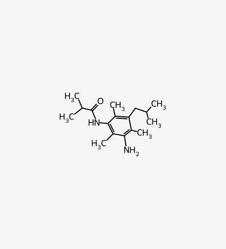 Cc1c(N)c(C)c(NC(=O)C(C)C)c(C)c1CC(C)C